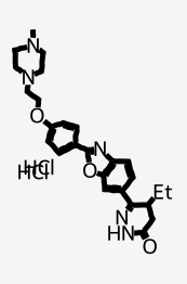 CCC1CC(=O)NN=C1c1ccc2nc(-c3ccc(OCCN4CCN(C)CC4)cc3)oc2c1.Cl.Cl